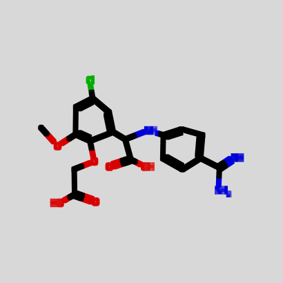 COc1cc(Cl)cc(C(Nc2ccc(C(=N)N)cc2)C(=O)O)c1OCC(=O)O